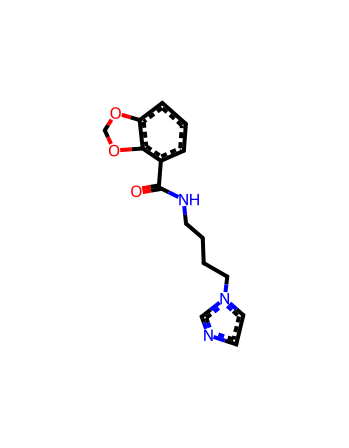 O=C(NCCCCn1ccnc1)c1cccc2c1OCO2